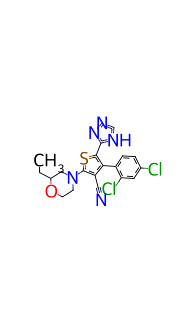 CCC1CN(c2sc(-c3nnc[nH]3)c(-c3ccc(Cl)cc3Cl)c2C#N)CCO1